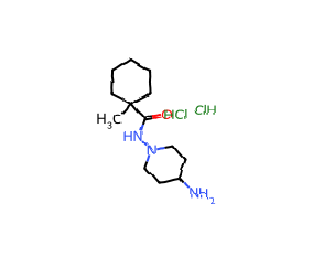 CC1(C(=O)NN2CCC(N)CC2)CCCCC1.Cl.Cl